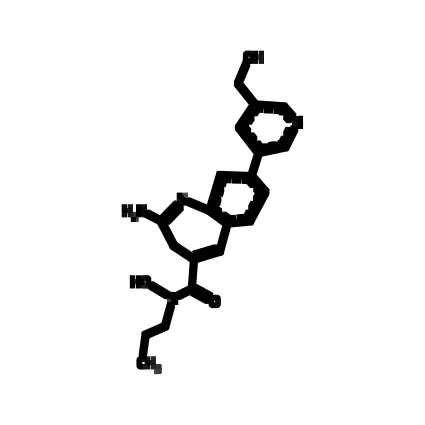 CCCN(O)C(=O)C1=Cc2ccc(-c3cncc(CO)c3)cc2N=C(N)C1